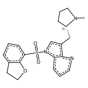 CN1CCC[C@H]1Cc1cn(S(=O)(=O)c2cccc3c2OCC3)c2cccnc12